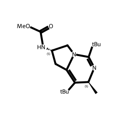 COC(=O)N[C@H]1CC2=C(C(C)(C)C)[C@H](C)N=C(C(C)(C)C)N2C1